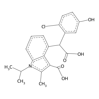 Cc1c(C(=O)O)c2c(C(C(=O)O)c3cc(O)ccc3Cl)cccc2n1C(C)C